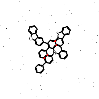 c1ccc(-c2ccc(N(c3ccccc3-c3ccc4sc5ccccc5c4c3)c3cccc(-c4ccc5oc6ccccc6c5c4)c3-c3ccccc3)cc2)cc1